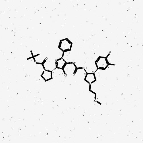 COCCN1C[C@@H](NC(=O)Nc2c(Cl)c([C@@H]3CCCN3C(=O)OC(C)(C)C)nn2-c2ccccc2)[C@H](c2ccc(F)c(F)c2)C1